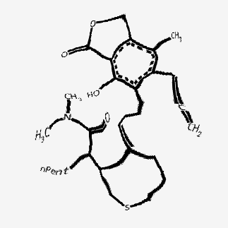 C=C=Cc1c(C)c2c(c(O)c1CC=C1CCCSCC1C(CCCCC)C(=O)N(C)C)C(=O)OC2